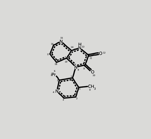 Cc1ccnc(C(C)C)c1-n1c(=O)c(=O)[nH]c2ncccc21